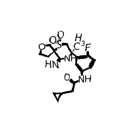 C[C@@]1(c2cc(NC(=O)CC3CC3)ccc2F)CS(=O)(=O)[C@]2(CCOC2)C(=N)N1